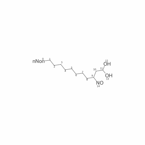 CCCCCCCCCCCCCCCCCC(CC(O)O)N=O